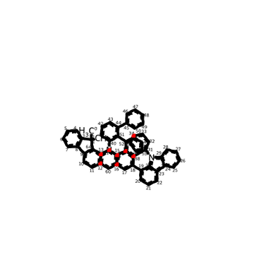 CC1(C)c2ccccc2-c2cccc(N(c3ccc(-c4cccc5c6ccccc6n(-c6ccccc6)c45)cc3)c3cccc(-c4ccccc4)c3-c3ccccc3-c3ccccc3)c21